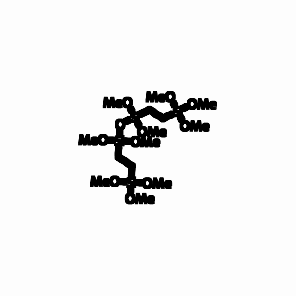 CO[Si](CC[Si](OC)(OC)O[Si](CC[Si](OC)(OC)OC)(OC)OC)(OC)OC